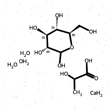 CC(O)C(=O)O.O.O.O.OC[C@H]1OC(O)[C@H](O)[C@@H](O)[C@@H]1O.[CaH2]